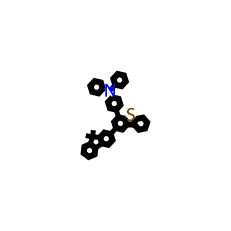 CC1(C)c2ccccc2-c2ccc(-c3cc(-c4ccc(N(c5ccccc5)c5ccccc5)cc4)c4sc5ccccc5c4c3)cc21